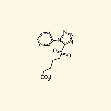 O=C(O)CCCCS(=O)(=O)c1nnnn1-c1ccccc1